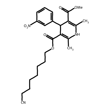 COC(=O)C1=C(C)NC(C)=C(C(=O)OCCCCCCCC#N)C1c1cccc([N+](=O)[O-])c1